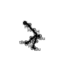 CC(C)(C)OC(=O)NCCCNC(=O)CCOCC(COCCC(=O)NCCCNC(=O)OCc1ccccc1)(COCCC(=O)NCCCNC(=O)OC(C)(C)C)NC(=O)OC(C)(C)C